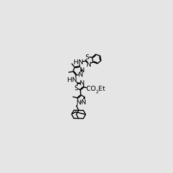 CCOC(=O)c1nc(Nc2nnc(Nc3nc4ccccc4s3)c(C)c2C)sc1-c1cnn(CC23CC4CC(CC(C4)C2)C3)c1C